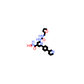 O=C(NCC1CCCO1)Nc1cc(C(=O)NO)cc(-c2ccc(-c3cccnc3)cc2)n1